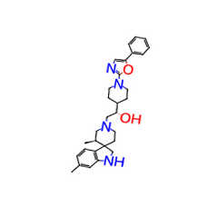 Cc1ccc2c(c1)NCC21CCN(C[C@@H](O)C2CCN(c3ncc(-c4ccccc4)o3)CC2)C[C@@H]1C